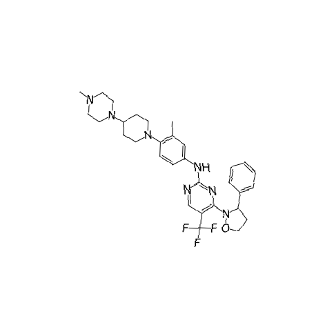 Cc1cc(Nc2ncc(C(F)(F)F)c(N3OCCC3c3ccccc3)n2)ccc1N1CCC(N2CCN(C)CC2)CC1